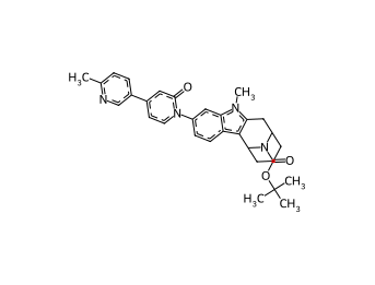 Cc1ccc(-c2ccn(-c3ccc4c5c(n(C)c4c3)CC3CCCC5N3C(=O)OC(C)(C)C)c(=O)c2)cn1